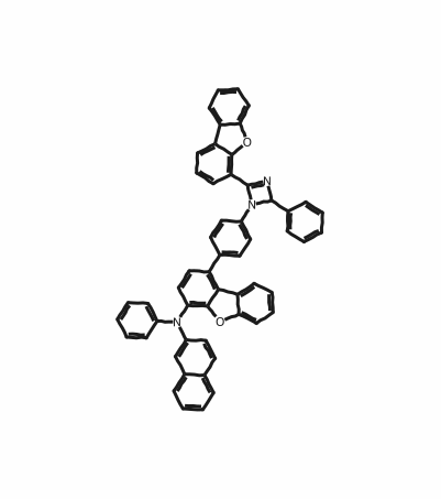 c1ccc(C2N=C(c3cccc4c3oc3ccccc34)N2c2ccc(-c3ccc(N(c4ccccc4)c4ccc5ccccc5c4)c4oc5ccccc5c34)cc2)cc1